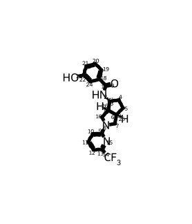 O=C(N[C@H]1CC[C@@H]2CN(c3cccc(C(F)(F)F)n3)C[C@@H]21)c1cccc(O)c1